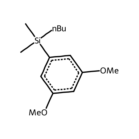 CCCC[Si](C)(C)c1cc(OC)cc(OC)c1